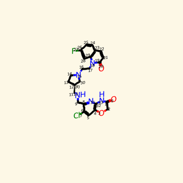 O=C1COc2cc(Cl)c(CNC[C@H]3CCN(CCn4c(=O)ccc5ccc(F)cc54)C3)nc2N1